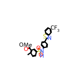 COC(=O)c1cc(S(=O)(=O)Nc2ccc(-c3nc4cc(C(F)(F)F)ccc4s3)cc2)ccc1C